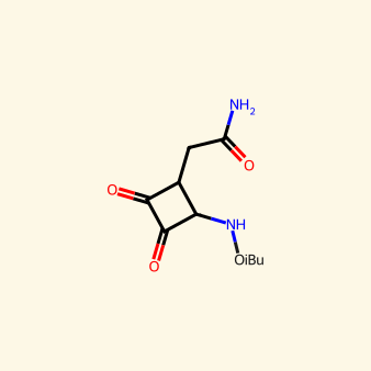 CC(C)CON[C]1C(=O)C(=O)C1CC(N)=O